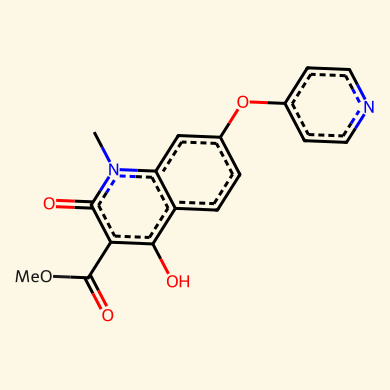 COC(=O)c1c(O)c2ccc(Oc3ccncc3)cc2n(C)c1=O